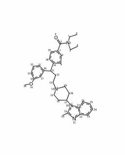 CCN(CC)C(=O)c1ccc(C(CCN2CCC(n3c(C)nc4ccccc43)CC2)c2cccc(OC)c2)cc1